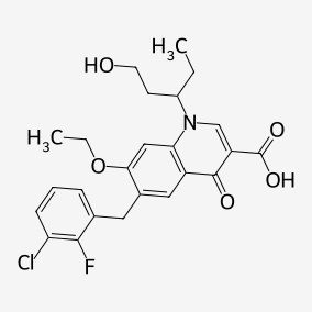 CCOc1cc2c(cc1Cc1cccc(Cl)c1F)c(=O)c(C(=O)O)cn2C(CC)CCO